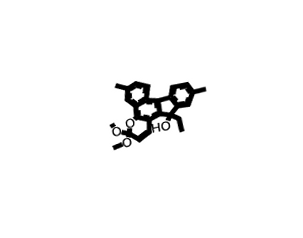 CCC1(O)c2cc(C)ccc2-c2c1c1c(c3cc(C)ccc23)OC(OC)(OC)C=C1